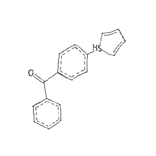 O=C(c1ccccc1)c1ccc([SH]2C=CC=C2)cc1